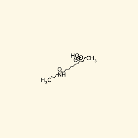 CCCCNC(=O)CCCCCCCC(CCC)S(=O)(=O)O